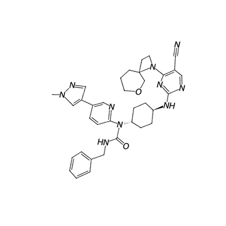 Cn1cc(-c2ccc(N(C(=O)NCc3ccccc3)[C@H]3CC[C@H](Nc4ncc(C#N)c(N5CCC56CCCOC6)n4)CC3)nc2)cn1